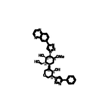 CO[C@H]1C[SH]([C@@H]2COC[C@H](n3cc(-c4ccccc4)nn3)[C@H]2O)[C@H](CO)[C@H](O)[C@@H]1n1cc(-c2ccc3nccnc3c2)nn1